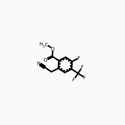 COC(=O)c1cc(F)c(C(F)(F)F)cc1CC#N